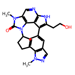 Cn1ncc2cc(-c3c(CCO)[nH]c4ncc5c(c34)n(C3CCCC3)c(=O)n5C)ccc21